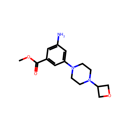 COC(=O)c1cc(N)cc(N2CCN(C3COC3)CC2)c1